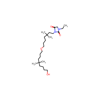 CCN1CC(=O)N(CCC(C)(C)CCCCOCCCCC(C)(C)CCCCO)C1=O